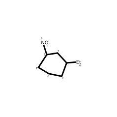 CCC1CCCC(N=O)C1